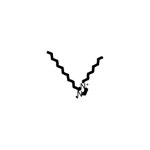 CCCCCCCCCCCc1n(C)cc[n+]1CCCCCCCC